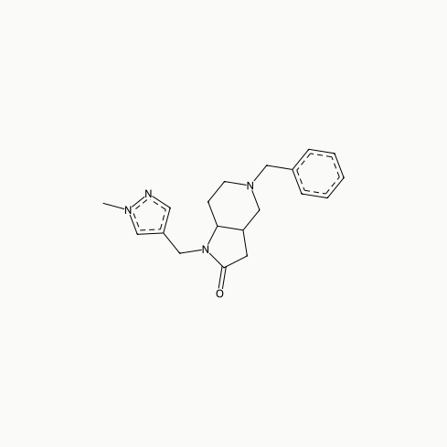 Cn1cc(CN2C(=O)CC3CN(Cc4ccccc4)CCC32)cn1